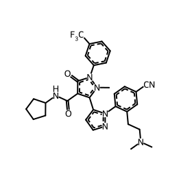 CN(C)CCc1cc(C#N)ccc1-n1nccc1-c1c(C(=O)NC2CCCC2)c(=O)n(-c2cccc(C(F)(F)F)c2)n1C